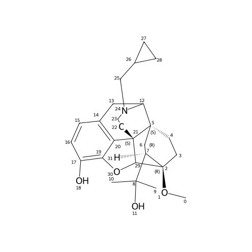 CO[C@]12CC[C@@]3(C[C@@H]1C(C)(C)O)C1Cc4ccc(O)c5c4[C@@]3(CCN1CC1CC1)C2O5